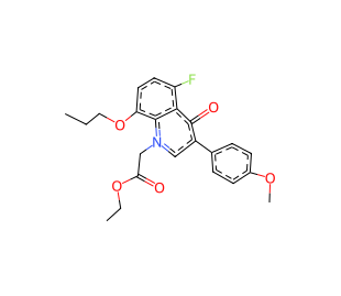 CCCOc1ccc(F)c2c(=O)c(-c3ccc(OC)cc3)cn(CC(=O)OCC)c12